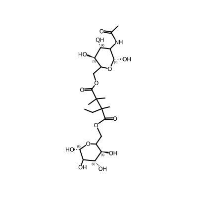 CCC(C)(C(=O)OCC1O[C@@H](O)C(O)[C@@H](O)[C@@H]1O)C(C)(C)C(=O)OCC1O[C@@H](O)C(NC(C)=O)[C@@H](O)[C@@H]1O